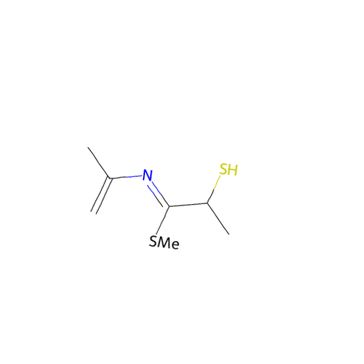 C=C(C)/N=C(\SC)C(C)S